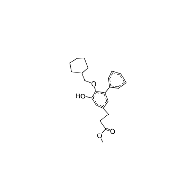 COC(=O)CCc1cc(O)c(OCC2CCCCC2)c(-c2ccccc2)c1